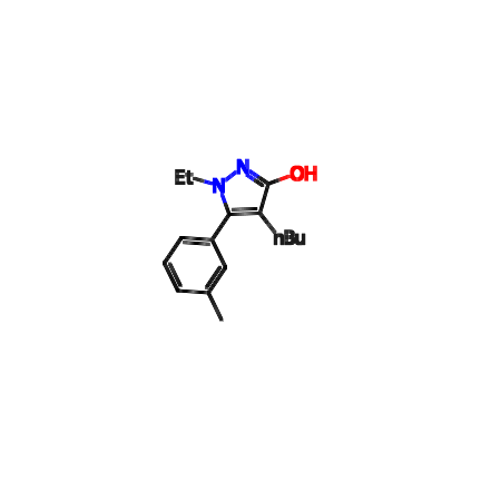 CCCCc1c(O)nn(CC)c1-c1cccc(C)c1